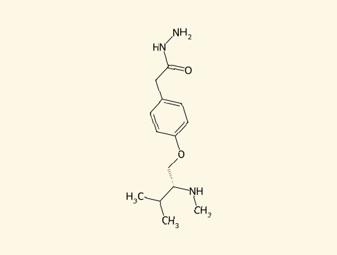 CN[C@@H](COc1ccc(CC(=O)NN)cc1)C(C)C